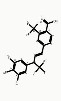 CC(F)(F)C(/C=C/c1ccc(C(=O)O)c(C(F)(F)F)c1)c1cc(F)c(F)c(F)c1